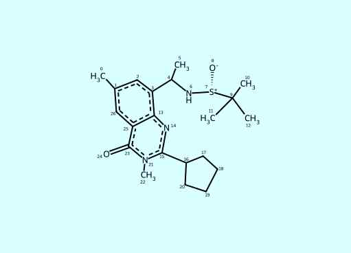 Cc1cc(C(C)N[S@+]([O-])C(C)(C)C)c2nc(C3CCCC3)n(C)c(=O)c2c1